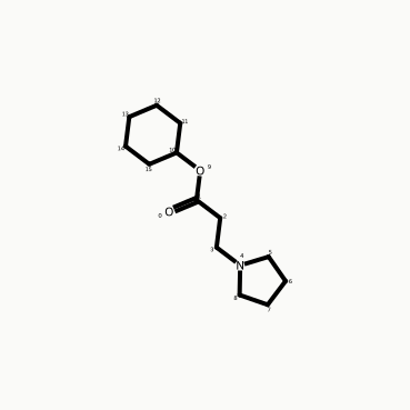 O=C(CCN1CCCC1)OC1CCCCC1